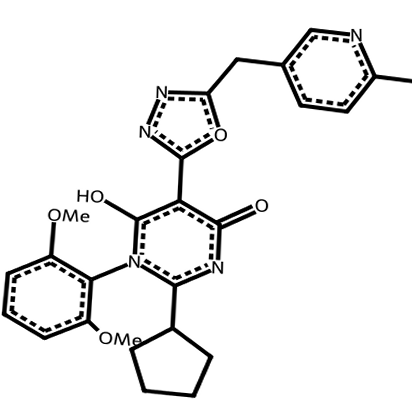 COc1cccc(OC)c1-n1c(C2CCCC2)nc(=O)c(-c2nnc(Cc3ccc(C)nc3)o2)c1O